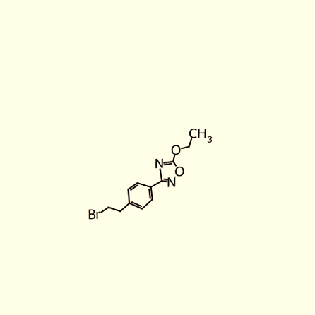 CCOc1nc(-c2ccc(CCBr)cc2)no1